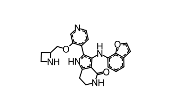 O=C1NCCc2[nH]c(-c3ccncc3OCC3CCN3)c(Nc3cccc4ccoc34)c21